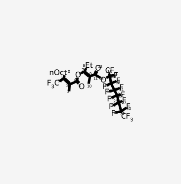 CCCCCCCCC(=C(C)C(=O)OC(CC)=C(C)C(=O)OC(F)(C(F)(F)F)C(F)(F)C(F)(F)C(F)(F)C(F)(F)C(F)(F)C(F)(F)F)C(F)(F)F